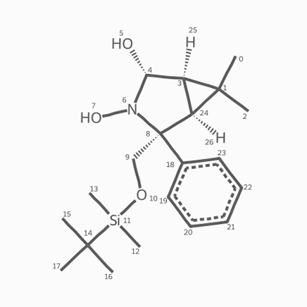 CC1(C)[C@@H]2[C@@H](O)N(O)[C@](CO[Si](C)(C)C(C)(C)C)(c3ccccc3)[C@@H]21